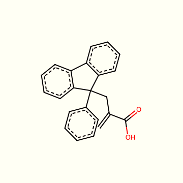 C=C(CC1(c2ccccc2)c2ccccc2-c2ccccc21)C(=O)O